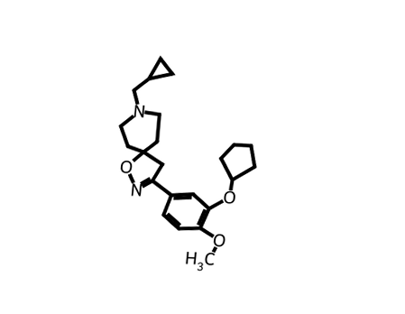 COc1ccc(C2=NOC3(CCN(CC4CC4)CC3)C2)cc1OC1CCCC1